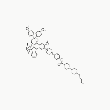 CCCCC[C@H]1CC[C@H]([C@H]2CC[C@H](C(=O)Oc3ccc(N4CCN(c5cc6c7c(c8c(c6cc5OC)OC(c5ccc(OC)cc5)(c5ccc(OC)cc5)C=C8)C(OC)(C(F)(F)F)c5ccccc5-7)CC4)cc3)CC2)CC1